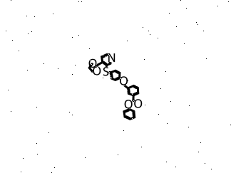 O=C(Oc1ccccc1)c1cccc(COc2ccc(Sc3cnccc3C3OCCO3)cc2)c1